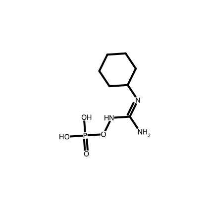 NC(=NC1CCCCC1)NOP(=O)(O)O